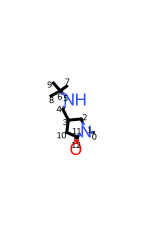 CN1CC(CNC(C)(C)C)CC1=O